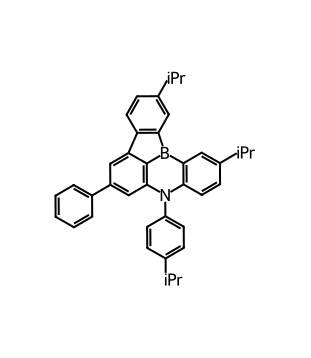 CC(C)c1ccc(N2c3ccc(C(C)C)cc3B3c4cc(C(C)C)ccc4-c4cc(-c5ccccc5)cc2c43)cc1